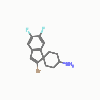 NC1CCC2(CC1)C(Br)=Cc1cc(F)c(F)cc12